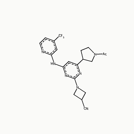 CC(=O)N1CCC(c2cc(Nc3cc(C(F)(F)F)ccn3)nc(N3CC(C#N)C3)n2)C1